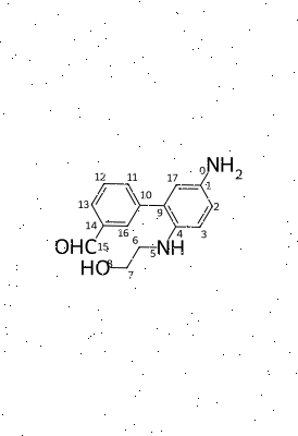 Nc1ccc(NCCO)c(-c2cccc(C=O)c2)c1